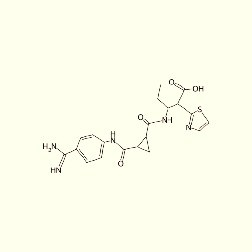 CCC(NC(=O)C1CC1C(=O)Nc1ccc(C(=N)N)cc1)C(C(=O)O)c1nccs1